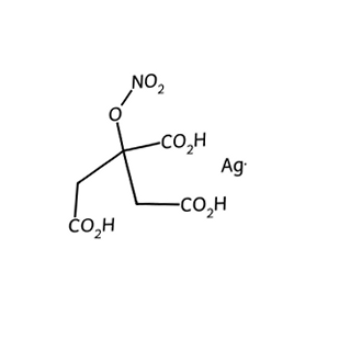 O=C(O)CC(CC(=O)O)(O[N+](=O)[O-])C(=O)O.[Ag]